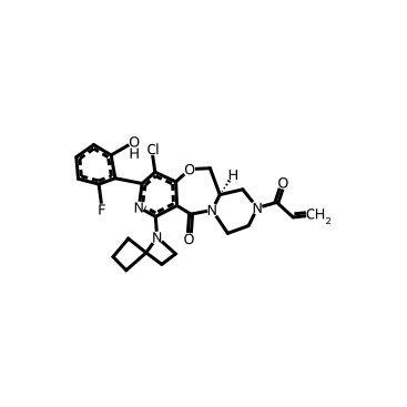 C=CC(=O)N1CCN2C(=O)c3c(N4CCC45CCC5)nc(-c4c(O)cccc4F)c(Cl)c3OC[C@H]2C1